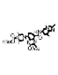 COc1nc2c(N3C[C@@H](C)N(C(=O)OC(C)(C)C)[C@@H](C)C3)ccc(C(=O)Nc3cc(F)c4nc(C)cn4c3)c2nc1C